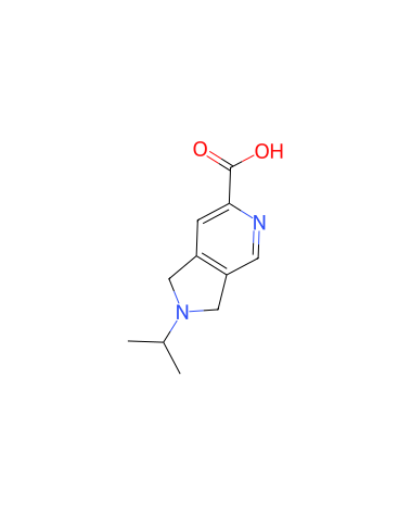 CC(C)N1Cc2cnc(C(=O)O)cc2C1